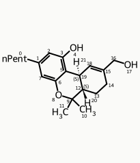 CCCCCc1cc(O)c2c(c1)OC(C)(C)[C@H]1CCC(CO)=C[C@H]21